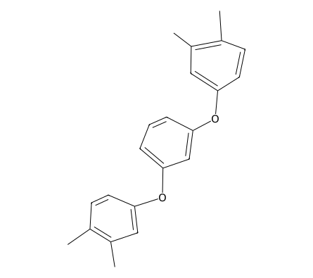 Cc1ccc(Oc2cccc(Oc3ccc(C)c(C)c3)c2)cc1C